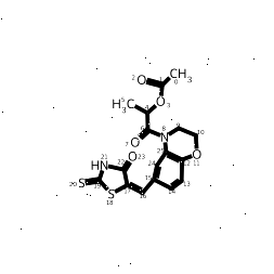 CC(=O)OC(C)C(=O)N1CCOc2ccc(C=C3SC(=S)NC3=O)cc21